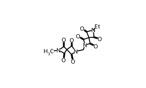 CCN1C(=O)C2(C1=O)C(=O)N(CN1C(=O)C3(C(=O)N(C)C3=O)C1=O)C2=O